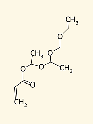 C=CC(=O)OC(C)OC(C)OCOCC